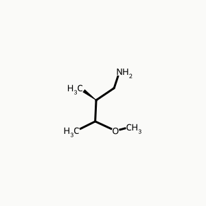 COC(C)[C@@H](C)CN